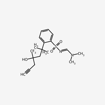 C#CCC(O)(CC(C)(C)c1ccccc1S(=O)(=O)N=CN(C)C)C(F)(F)F